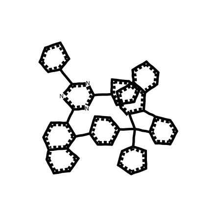 c1ccc(-c2nc(-c3ccccc3)nc(-c3ccc4ccccc4c3-c3ccc(C4(c5ccccc5)c5ccccc5-c5c4ccc4ccccc54)cc3)n2)cc1